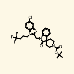 CC(C)(C)OC(=O)N1CCC2(CC1)C(=O)N(Cc1nc3cc(Cl)ccc3n1CCCC(F)(F)F)c1ccccc12